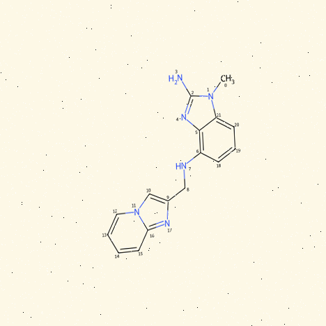 Cn1c(N)nc2c(NCc3cn4ccccc4n3)cccc21